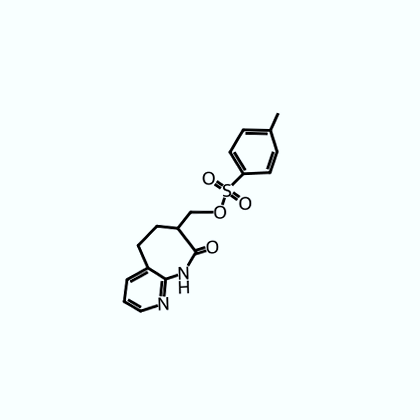 Cc1ccc(S(=O)(=O)OCC2CCc3cccnc3NC2=O)cc1